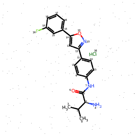 CC(C)[C@H](N)C(=O)Nc1ccc(-c2cc(-c3cccc(F)c3)on2)cc1.Cl